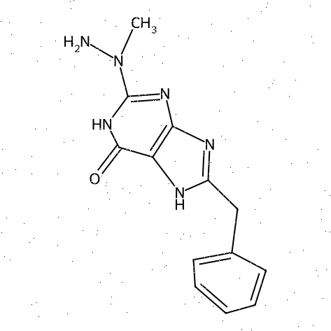 CN(N)c1nc2nc(Cc3ccccc3)[nH]c2c(=O)[nH]1